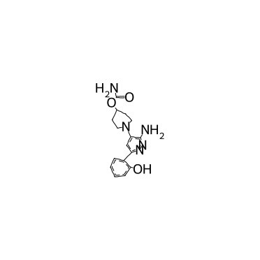 NC(=O)OC1CCN(c2cc(-c3ccccc3O)nnc2N)CC1